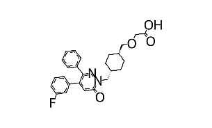 O=C(O)COC[C@H]1CC[C@H](Cn2nc(-c3ccccc3)c(-c3cccc(F)c3)cc2=O)CC1